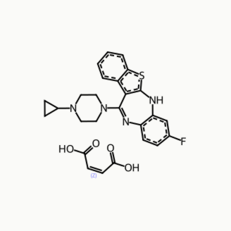 Fc1ccc2c(c1)Nc1sc3ccccc3c1C(N1CCN(C3CC3)CC1)=N2.O=C(O)/C=C\C(=O)O